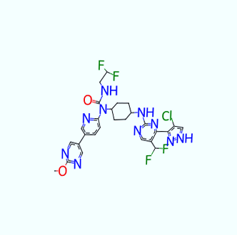 COc1ncc(-c2ccc(N(C(=O)NCC(F)F)C3CCC(Nc4ncc(C(F)F)c(-c5n[nH]cc5Cl)n4)CC3)nc2)cn1